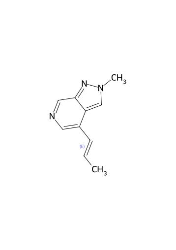 C/C=C/c1cncc2nn(C)cc12